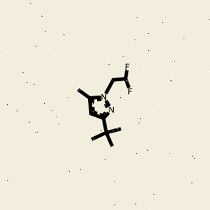 Cc1cc(C(C)(C)C)nn1CC(F)F